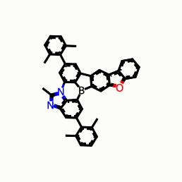 Cc1cccc(C)c1-c1cc2c3c(c1)-n1c(C)nc4cc(-c5c(C)cccc5C)cc(c41)B3c1cc3oc4ccccc4c3cc1-2